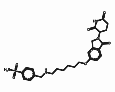 NS(=O)(=O)c1ccc(CNCCCCCCOc2ccc3c(c2)CN(C2CCC(=O)NC2=O)C3=O)cc1